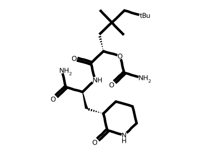 CC(C)(C)CC(C)(C)C[C@H](OC(N)=O)C(=O)N[C@@H](C[C@@H]1CCCNC1=O)C(N)=O